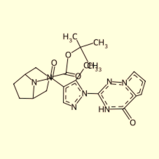 Cc1c(C(=O)N2C3CCC2CN(C(=O)OC(C)(C)C)C3)cnn1-c1nn2cccc2c(=O)[nH]1